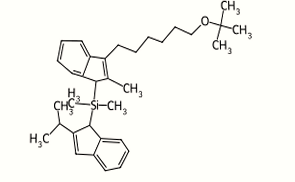 CC1=C(CCCCCCOC(C)(C)C)c2ccccc2C1[Si](C)(C)C1C(C(C)C)=Cc2ccccc21